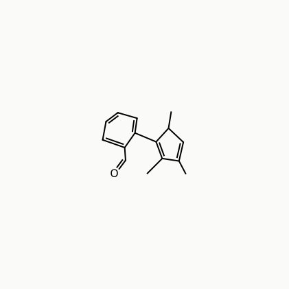 CC1=CC(C)C(c2ccccc2C=O)=C1C